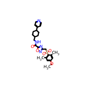 COc1cc(C)c(S(=O)(=O)Cc2noc(C(=O)NCC3CCC(c4ccncc4)CC3)n2)c(C)c1